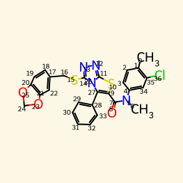 Cc1ccc(N(C)C(=O)c2sc3nnc(SCc4ccc5c(c4)OCO5)n3c2-c2ccccc2)cc1Cl